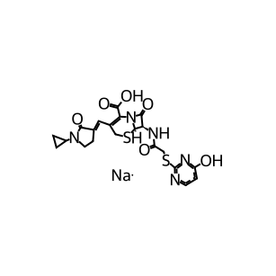 O=C(CSc1nccc(O)n1)N[C@@H]1C(=O)N2C(C(=O)O)=C(C=C3CCN(C4CC4)C3=O)CS[C@H]12.[Na]